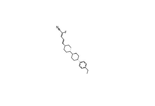 CCc1ccc([C@H]2CC[C@H]([C@H]3CC[C@H](C=CC=C(F)C#N)CC3)CC2)cc1